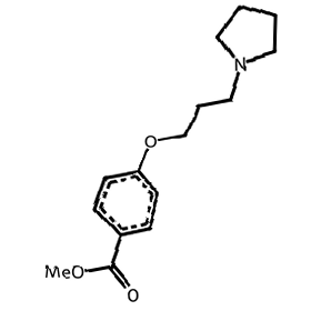 COC(=O)c1ccc(OCCCN2CCCC2)cc1